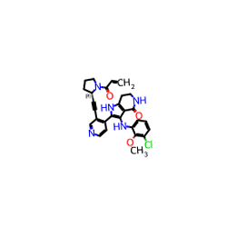 C=CC(=O)N1CCC[C@@H]1C#Cc1cnccc1-c1[nH]c2c(c1Nc1cccc(Cl)c1OC)C(=O)NCC2